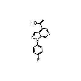 C=C(O)c1cncc2c1cnn2-c1ccc(F)cc1